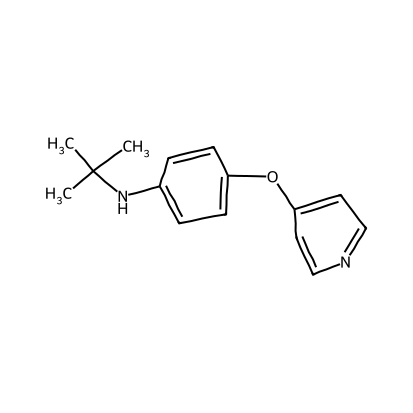 CC(C)(C)Nc1ccc(Oc2ccncc2)cc1